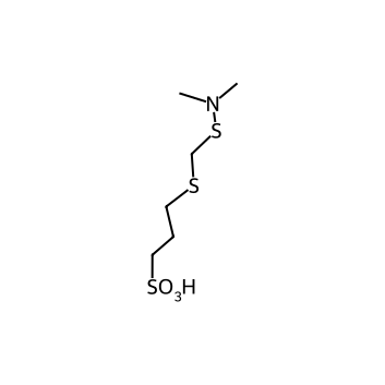 CN(C)SCSCCCS(=O)(=O)O